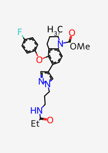 CCC(=O)NCCCn1cc(-c2ccc3c(c2Oc2ccc(F)cc2)CC[C@H](C)N3C(=O)OC)cn1